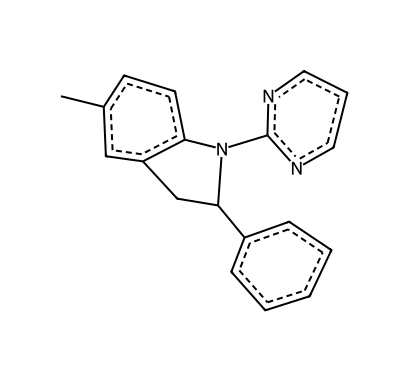 Cc1ccc2c(c1)CC(c1ccccc1)N2c1ncccn1